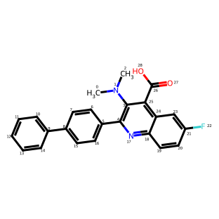 CN(C)c1c(-c2ccc(-c3ccccc3)cc2)nc2ccc(F)cc2c1C(=O)O